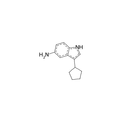 Nc1ccc2[nH]cc(C3CCCC3)c2c1